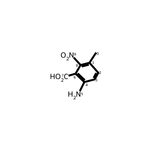 Cc1ccc(N)c(C(=O)O)c1[N+](=O)[O-]